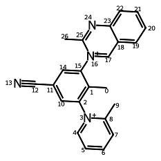 Cc1c(-[n+]2ccccc2C)cc(C#N)cc1-[n+]1cc2ccccc2nc1C